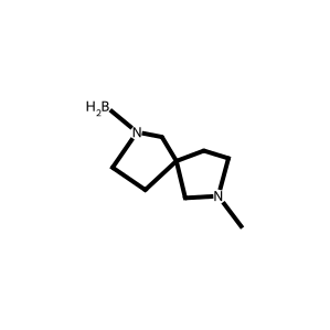 BN1CCC2(CCN(C)C2)C1